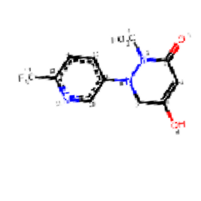 O=C(O)N1C(=O)C=C(O)CN1c1ccc(C(F)(F)F)nc1